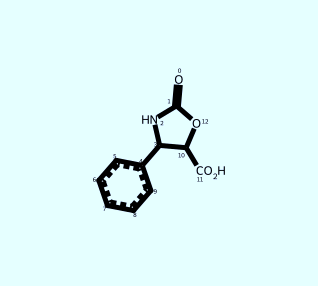 O=C1NC(c2ccccc2)C(C(=O)O)O1